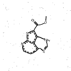 COC(=O)c1sc2nccc3c2c1NC=N3